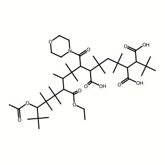 CCOC(=O)C(C(C)C(C)(C)C(C(=O)N1CCOCC1)C(C(=O)O)C(C)(C)CC(C)(C)C(C(=O)O)C(C(=O)O)C(C)(C)C)C(C)(C)C(C)(C)C(OC(C)=O)C(C)(C)C